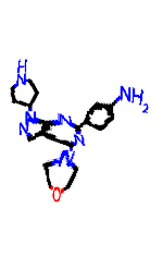 Nc1ccc(-c2nc(N3CCOCC3)c3cnn(C4CCNCC4)c3n2)cc1